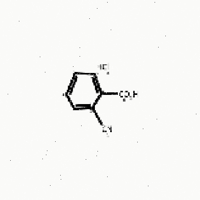 Cl.N#Cc1ccccc1C(=O)O